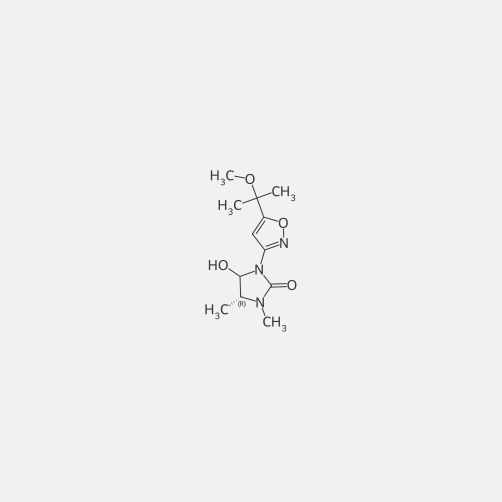 COC(C)(C)c1cc(N2C(=O)N(C)[C@H](C)C2O)no1